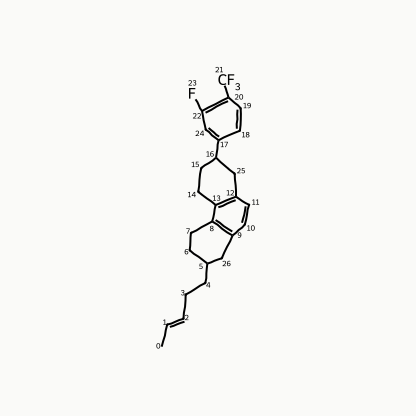 CC=CCCC1CCc2c(ccc3c2CCC(c2ccc(C(F)(F)F)c(F)c2)C3)C1